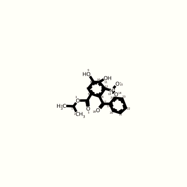 CC(C)OC(=O)c1cc(O)c(O)c([N+](=O)[O-])c1C(=O)c1ccccc1